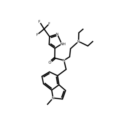 CCN(CC)CCN(Cc1cccc2c1ccn2C)C(=O)c1cc(C(F)(F)F)n[nH]1